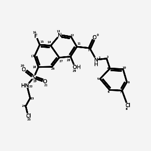 O=C(NCc1ccc(Cl)cc1)c1cnc2c(F)cc(S(=O)(=O)NCCCl)cc2c1O